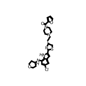 O=C(c1ccco1)N1CCN(CC[C@@H]2CSC(c3cc4cc(Cl)cc(NC5CCOCC5)c4[nH]3)=N2)CC1